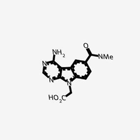 CNC(=O)c1ccc2c(c1)c1c(N)ncnc1n2CC(=O)O